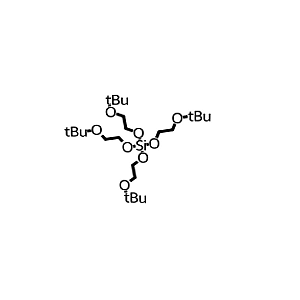 CC(C)(C)OCCO[Si](OCCOC(C)(C)C)(OCCOC(C)(C)C)OCCOC(C)(C)C